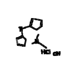 C1=CC[C]([Ti][C]2=CC=CC2)=C1.CN(C)C.Cl.Cl